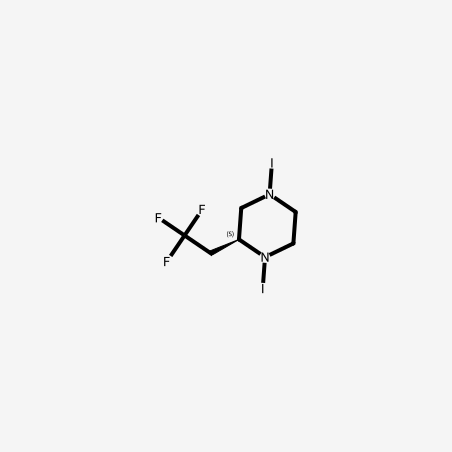 FC(F)(F)C[C@H]1CN(I)CCN1I